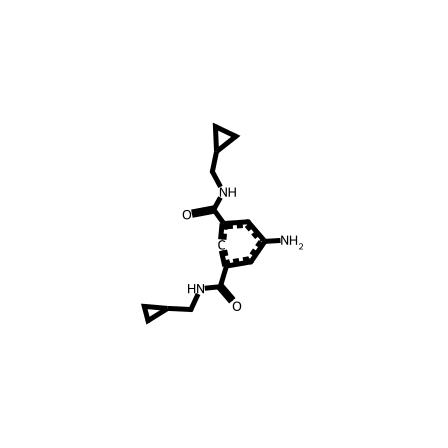 Nc1cc(C(=O)NCC2CC2)cc(C(=O)NCC2CC2)c1